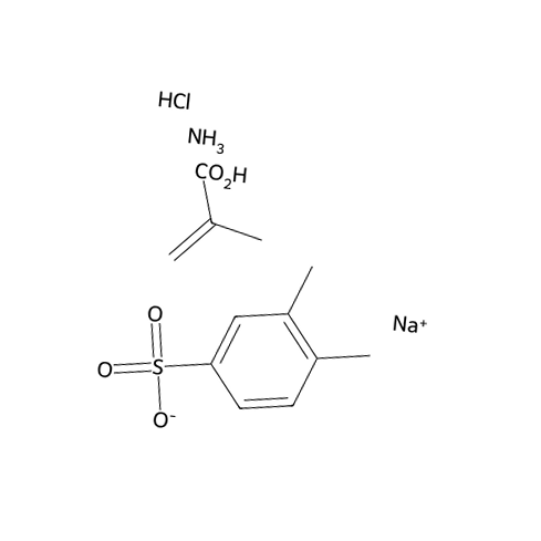 C=C(C)C(=O)O.Cc1ccc(S(=O)(=O)[O-])cc1C.Cl.N.[Na+]